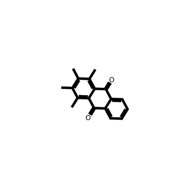 Cc1c(C)c(C)c2c(c1C)C(=O)c1ccccc1C2=O